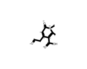 Cc1c(C(=O)O)c(CC=O)cc(=O)n1C